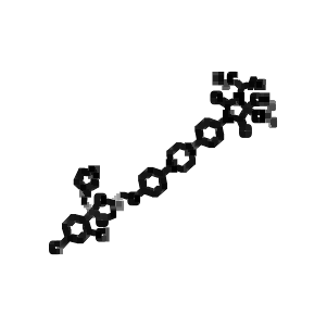 CC(=O)C(C)N1C(=O)N(c2ccc(N3CCN(c4ccc(OC[C@@H]5CO[C@@](Cn6ccnc6)(c6ccc(Cl)cc6Cl)O5)cc4)CC3)cc2)C(=O)C1(C)C